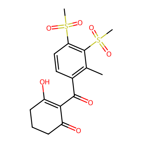 Cc1c(C(=O)C2=C(O)CCCC2=O)ccc(S(C)(=O)=O)c1S(C)(=O)=O